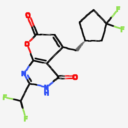 O=c1cc(C[C@@H]2CCC(F)(F)C2)c2c(=O)[nH]c(C(F)F)nc2o1